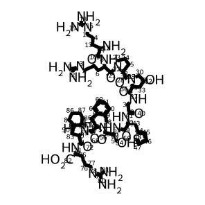 NC(N)=NCCCC(NC(=O)[C@H](N)CCCN=C(N)N)C(=O)N1CCCC1C(=O)N1C[C@H](O)CC1C(=O)NCC(=O)N[C@@H](Cc1cccs1)C(=O)N[C@@H](CO)C(=O)N1Cc2ccccc2CC1C(=O)N1C(C(=O)N[C@@H](CCCN=C(N)N)C(=O)O)C[C@@H]2CCCC[C@@H]21